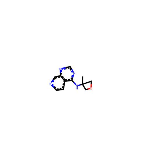 CC1(Nc2ncnc3cnccc23)COC1